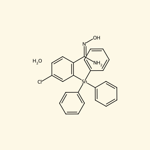 NC(=NO)c1ccc(Cl)c[c]1[Sn]([c]1ccccc1)([c]1ccccc1)[c]1ccccc1.O